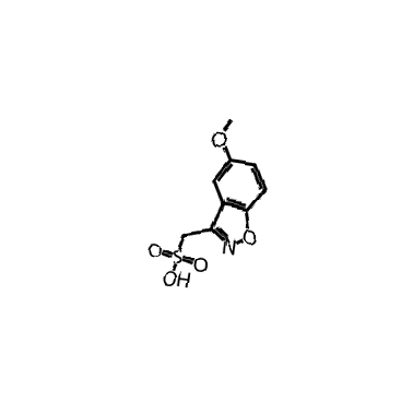 COc1ccc2onc(CS(=O)(=O)O)c2c1